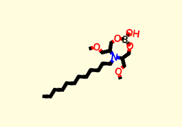 CCCCCCCCCCCCN1C(COC)COB(O)OCC1COC